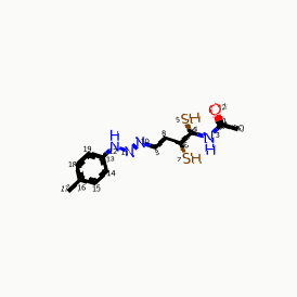 CC(=O)NC(S)C(S)CCN=NNc1ccc(C)cc1